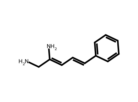 NCC(N)=CC=Cc1ccccc1